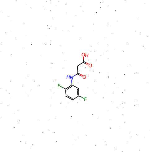 O=C(O)CC(=O)Nc1cc(F)ccc1F